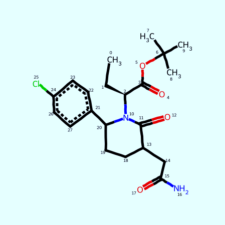 CC[C@@H](C(=O)OC(C)(C)C)N1C(=O)C(CC(N)=O)CCC1c1ccc(Cl)cc1